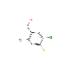 OCc1cc(Cl)c(F)cc1Cl